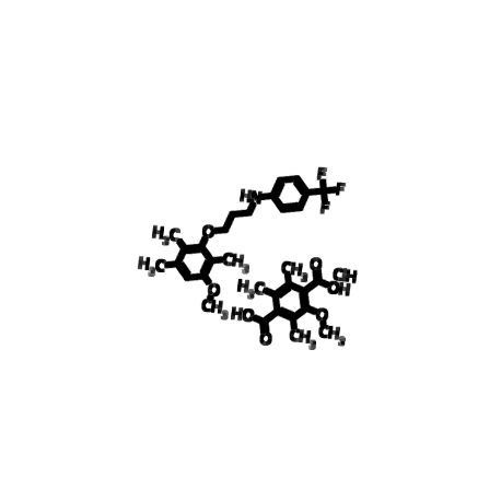 COc1c(C)c(C(=O)O)c(C)c(C)c1C(=O)O.COc1cc(C)c(C)c(OCCCNc2ccc(C(F)(F)F)cc2)c1C.Cl